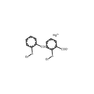 CCSc1ccccc1C(=O)[O-].CCSc1ccccc1C(=O)[O-].[Hg+2]